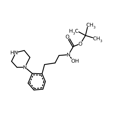 CC(C)(C)OC(=O)N(O)CCCc1ccccc1N1CCNCC1